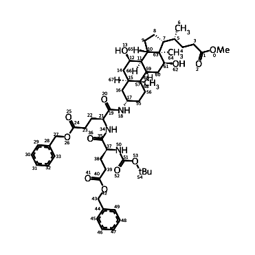 COC(=O)CC[C@@H](C)[C@H]1CC[C@H]2[C@@H]3[C@H](O)C[C@@H]4C[C@@H](NC(=O)[C@H](CCC(=O)OCc5ccccc5)NC(=O)[C@H](CCC(=O)OCc5ccccc5)NC(=O)OC(C)(C)C)CC[C@]4(C)[C@H]3C[C@H](O)[C@]12C